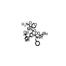 CC(C)(C)OC(=O)N[C@H](CC1CCCCC1)C(=O)N1C[C@@H](n2nncc2C(C)(C)O)C[C@H]1C(=O)NC1(C(=O)C(N)=O)CCOCC1